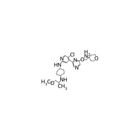 COC[C@H](C)N[C@H]1CC[C@H](Nc2cc(-c3cncc(OCC4(N)CCOCC4)n3)c(Cl)cn2)CC1